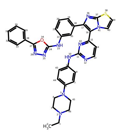 CCN1CCN(c2ccc(Nc3nccc(-c4c(-c5cccc(Nc6nnc(-c7ccccc7)o6)c5)nc5sccn45)n3)cc2)CC1